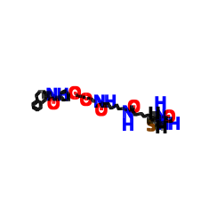 O=C(CCCC[C@@H]1SC[C@@H]2NC(=O)N[C@@H]21)NCCCCCC(=O)NCCOCCOc1ccc(C(=O)N[C@@H]2CCCc3ccccc3C2)cc1